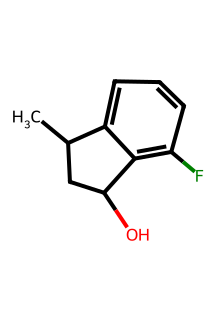 CC1CC(O)c2c(F)cccc21